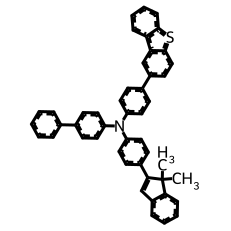 CC1(C)C(c2ccc(N(c3ccc(-c4ccccc4)cc3)c3ccc(-c4ccc5sc6ccccc6c5c4)cc3)cc2)=Cc2ccccc21